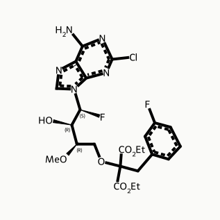 CCOC(=O)C(Cc1cccc(F)c1)(OC[C@@H](OC)[C@@H](O)[C@H](F)n1cnc2c(N)nc(Cl)nc21)C(=O)OCC